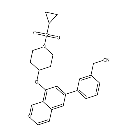 N#CCc1cccc(-c2cc(OC3CCN(S(=O)(=O)C4CC4)CC3)c3cnccc3c2)c1